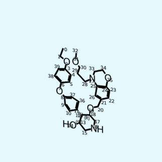 CCOc1ccc(Oc2ccc([C@H]3[C@H](O)CNC[C@@H]3OCc3ccc4c(c3)N(CCCOC)CCO4)cc2)cc1